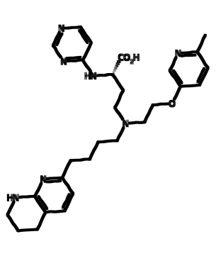 Cc1ccc(OCCN(CCCCc2ccc3c(n2)NCCC3)CC[C@H](Nc2ccncn2)C(=O)O)cn1